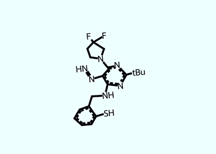 CC(C)(C)c1nc(NCc2ccccc2S)c(N=N)c(N2CCC(F)(F)C2)n1